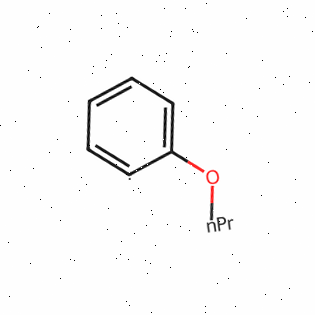 [CH2]CCOc1[c]cccc1